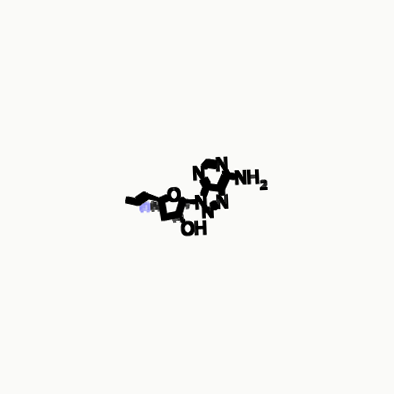 C/C=C/[C@@H]1C[C@@H](O)[C@H](n2nnc3c(N)ncnc32)O1